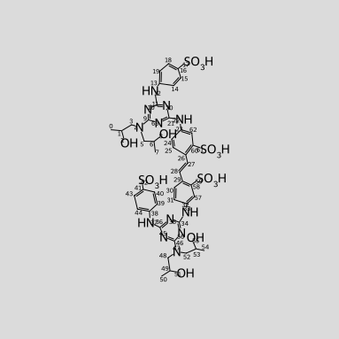 CC(O)CN(CC(C)O)c1nc(Nc2ccc(S(=O)(=O)O)cc2)nc(Nc2ccc(C=Cc3ccc(Nc4nc(Nc5ccc(S(=O)(=O)O)cc5)nc(N(CC(C)O)CC(C)O)n4)cc3S(=O)(=O)O)c(S(=O)(=O)O)c2)n1